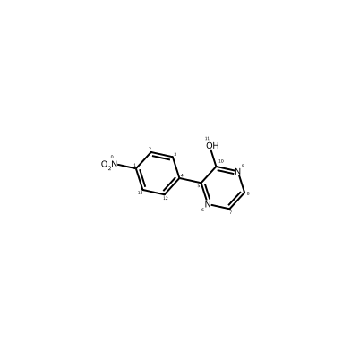 O=[N+]([O-])c1ccc(-c2nccnc2O)cc1